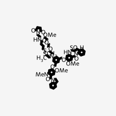 CNc1cc(OCc2cc(COc3cc4c(cc3OC)C(=O)N3c5ccccc5CC3C(S(=O)(=O)O)N4)cc(N(CCOCCOCCOC)CC(C)(C)SSCCCC(=O)NCCN3C(=O)C=CC3=O)c2)c(OC)cc1C(=O)N1CCc2ccccc21